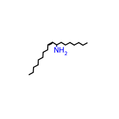 CCCCCCCC/C=C\C(N)CCCCCCC